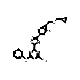 Nc1nc(Nc2ccccc2)nc(-c2noc(N3CC4C(COCC5CC5)[C@H]4C3)n2)n1